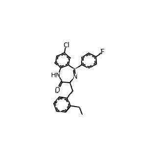 CCc1ccccc1CC1N=C(c2ccc(F)cc2)c2cc(Cl)ccc2NC1=O